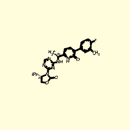 Cc1cc(-c2ccc([C@H](C)Nc3ncnc(N4C(=O)OC[C@@H]4C(C)C)n3)[nH]c2=O)ccc1F